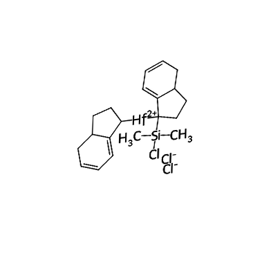 C[Si](C)(Cl)[C]1([Hf+2][CH]2CCC3CC=CC=C32)CCC2CC=CC=C21.[Cl-].[Cl-]